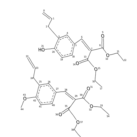 C=CCc1cc(C=C(C(=O)OCC)C(=O)OCC)ccc1O.C=CCc1cc(C=C(C(=O)OCC)C(=O)OCC)ccc1OC